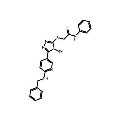 CCn1c(SCC(=O)Nc2ccccc2)nnc1-c1ccc(NCc2ccccc2)nc1